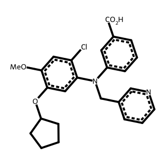 COc1cc(Cl)c(N(Cc2cccnc2)c2cccc(C(=O)O)c2)cc1OC1CCCC1